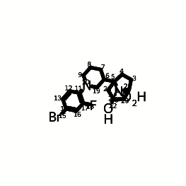 O=C(O)N1C2CCC1(C1CCCN(c3ccc(Br)cc3F)C1)CC(O)C2